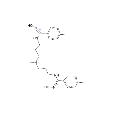 Cc1ccc(/C(=N/O)NCCCN(C)CCCN/C(=N\O)c2ccc(C)cc2)cc1